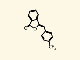 O=C1OC(=Cc2ccc(C(F)(F)F)cc2)c2ccccc21